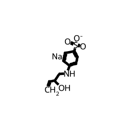 C=CC(O)CNc1ccc(S(=O)(=O)[O-])cc1.[Na+]